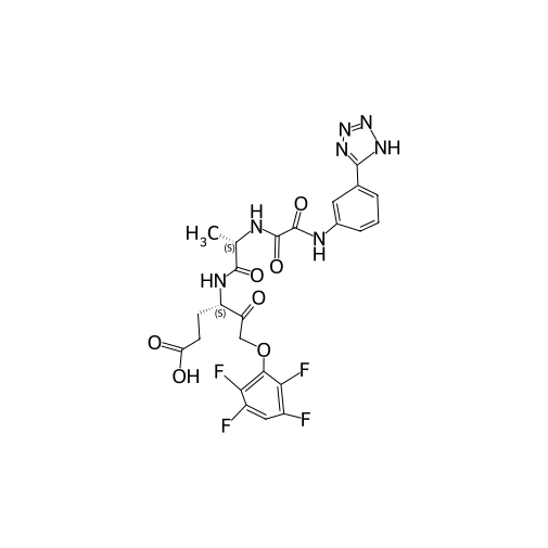 C[C@H](NC(=O)C(=O)Nc1cccc(-c2nnn[nH]2)c1)C(=O)N[C@@H](CCC(=O)O)C(=O)COc1c(F)c(F)cc(F)c1F